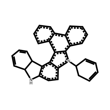 C1=CCC(n2c3ccc4c(c3c3c5ccccc5c5ccccc5c32)C2C=CC=CC2N4)C=C1